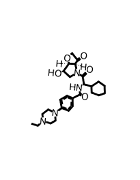 CCN1CCN(c2ccc(C(=O)N[C@H](C(=O)N3C[C@H](O)[C@H]4OCC(=O)[C@H]43)C3CCCCC3)cc2)CC1